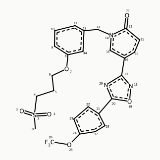 CS(=O)(=O)CCCOc1cccc(Cn2cc(-c3noc(-c4ccc(OC(F)(F)F)cc4)n3)ccc2=O)c1